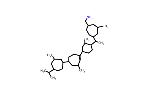 CC1C=C(C2CCC(C(C)C3CCC(CN)CC(C)C3)C(C)C2)CCC(C2CCC(C(C)C)CC(C)C2)C1